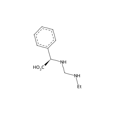 CCNCN[C@@H](C(=O)O)c1ccccc1